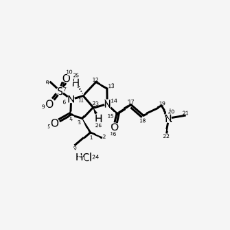 CC(C)[C@H]1C(=O)N(S(C)(=O)=O)[C@H]2CCN(C(=O)/C=C/CN(C)C)[C@H]12.Cl